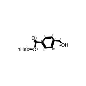 CCCCCCOC(=O)c1ccc(CO)cc1